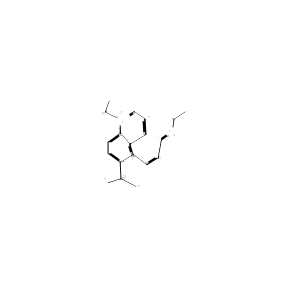 CC/N=C/C=C\c1c(C(C)C)ccc2c1ccc[n+]2CC